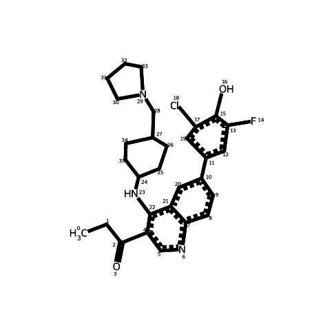 CCC(=O)c1cnc2ccc(-c3cc(F)c(O)c(Cl)c3)cc2c1NC1CCC(CN2CCCC2)CC1